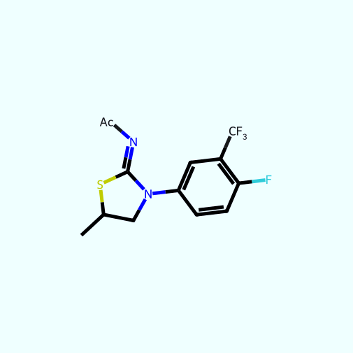 CC(=O)N=C1SC(C)CN1c1ccc(F)c(C(F)(F)F)c1